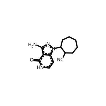 N#CC1CCCCCC1n1nc(N)c2c(=O)[nH]ccc21